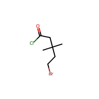 CC(C)(CCBr)CC(=O)Cl